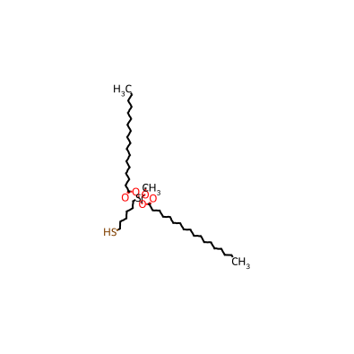 CCCCCCCCCCCCCCCCCC(=O)O[Si](CCCCCCS)(OC)OC(=O)CCCCCCCCCCCCCCCCC